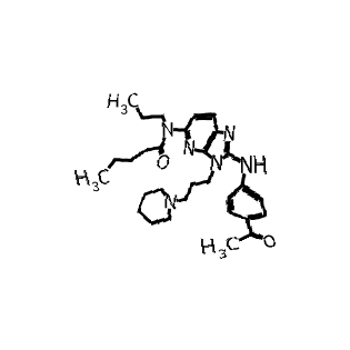 CCCCC(=O)N(CCC)c1ccc2nc(Nc3ccc(C(C)=O)cc3)n(CCCN3CCCCC3)c2n1